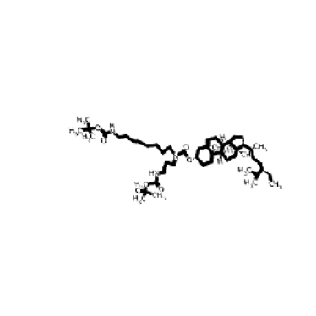 CC[C@H](CC[C@@H](C)[C@H]1CC[C@H]2[C@@H]3CC=C4C[C@@H](OC(=O)N(CCCCCCCCNC(=O)OC(C)(C)C)CCCNC(=O)OC(C)(C)C)CC[C@]4(C)[C@H]3CC[C@]12C)C(C)C